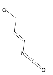 O=C=NC=CCCl